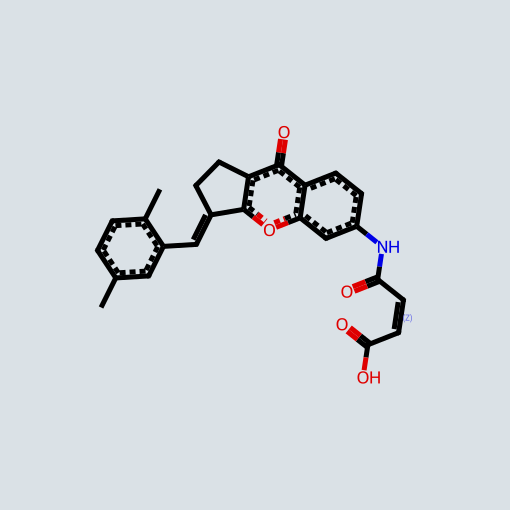 Cc1ccc(C)c(C=C2CCc3c2oc2cc(NC(=O)/C=C\C(=O)O)ccc2c3=O)c1